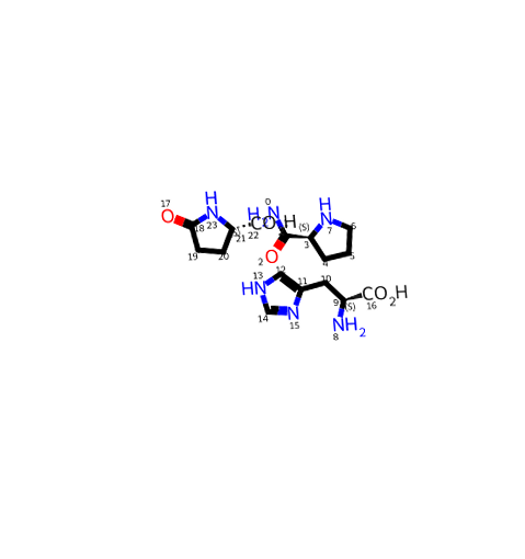 NC(=O)[C@@H]1CCCN1.N[C@@H](Cc1c[nH]cn1)C(=O)O.O=C1CC[C@@H](C(=O)O)N1